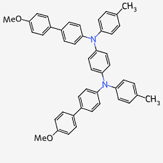 COc1ccc(-c2ccc(N(c3ccc(C)cc3)c3ccc(N(c4ccc(C)cc4)c4ccc(-c5ccc(OC)cc5)cc4)cc3)cc2)cc1